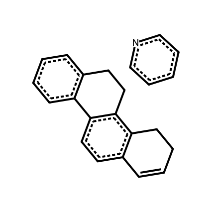 C1=Cc2ccc3c(c2CC1)CCc1ccccc1-3.c1ccncc1